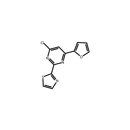 Clc1cc(-c2ccco2)nc(-c2nccs2)n1